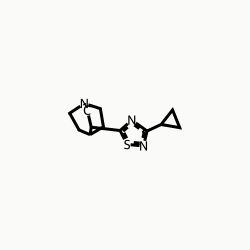 C1CC1c1nsc(C2CN3CCC2CC3)n1